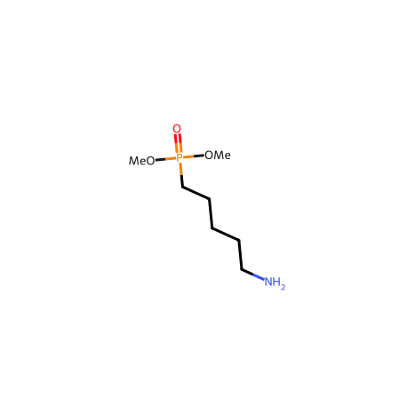 COP(=O)(CCCCCN)OC